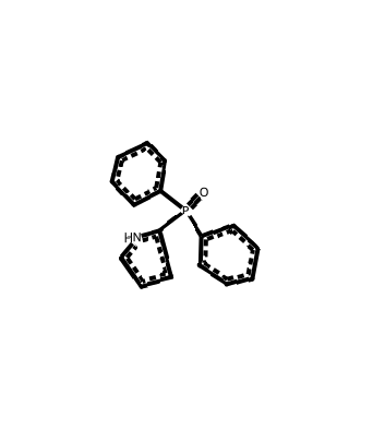 O=P(c1ccccc1)(c1ccccc1)c1ccc[nH]1